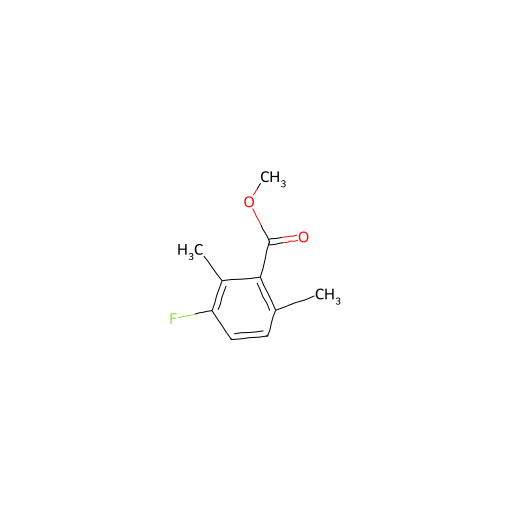 COC(=O)c1c(C)ccc(F)c1C